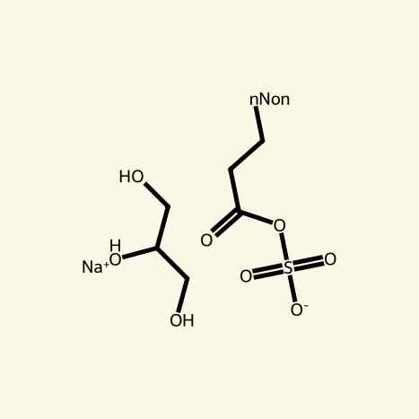 CCCCCCCCCCCC(=O)OS(=O)(=O)[O-].OCC(O)CO.[Na+]